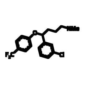 CNCCCC(Oc1ccc(C(F)(F)F)cc1)c1cccc(Cl)c1